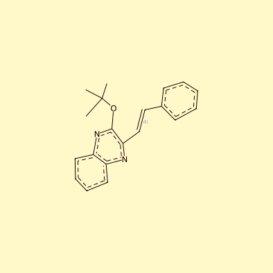 CC(C)(C)Oc1nc2ccccc2nc1/C=C/c1ccccc1